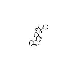 CC(Oc1ccc2c(-c3ccccc3N(C)C)ccnc2c1)C(=O)N1CCCCC1